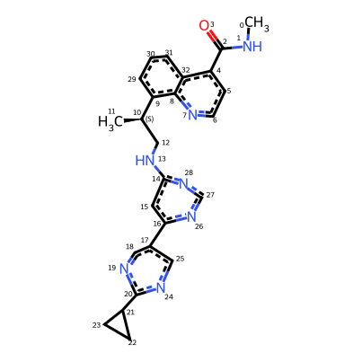 CNC(=O)c1ccnc2c([C@H](C)CNc3cc(-c4cnc(C5CC5)nc4)ncn3)cccc12